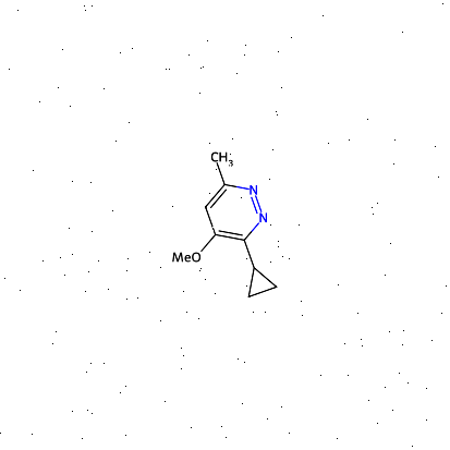 COc1cc(C)nnc1C1CC1